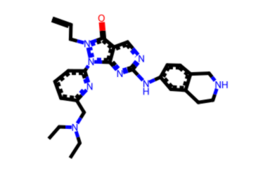 C=CCn1c(=O)c2cnc(Nc3ccc4c(c3)CCNC4)nc2n1-c1cccc(CN(CC)CC)n1